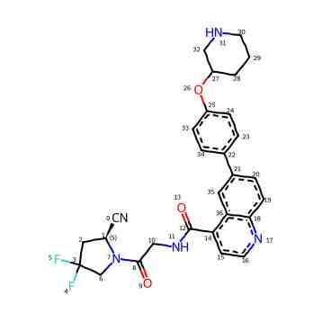 N#C[C@@H]1CC(F)(F)CN1C(=O)CNC(=O)c1ccnc2ccc(-c3ccc(OC4CCCNC4)cc3)cc12